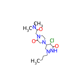 CCCCN1CC(N2CCN(CC(=O)N(C)C)C(=O)C2)C(Cl)C(=O)N1